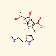 C[C@@H](O)[C@H]1C(=O)N2C(C(=O)O)=C(S[C@@H]3CN[C@H](CCN(C)C)C3)[C@H](C)[C@H]12